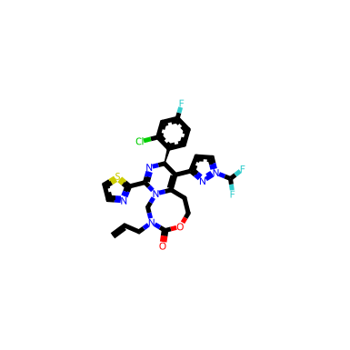 C=CCN1CN2C(c3nccs3)=N[C@@H](c3ccc(F)cc3Cl)C(c3ccn(C(F)F)n3)=C2CCOC1=O